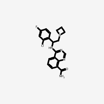 NC(=O)c1cccc2c(NC(CN3CCC3)c3ccc(F)cc3Cl)ncnc12